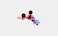 CCNC(=O)Nc1ccn([C@@H]2O[C@H](COCc3c(F)cccc3C(=O)O)C3O[C@H](c4ccccc4)OC32)c(=O)n1